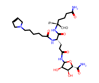 CC(C)[C@](C=O)(CCCC(N)=O)NC(=O)[C@H](CCC(=O)NC1O[C@H](C(N)=O)[C@@H](O)[C@H]1O)NC(=O)CCCCCN1CC=CC1